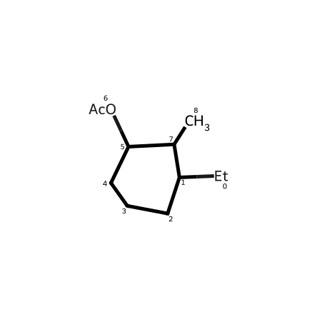 CCC1CCCC(OC(C)=O)C1C